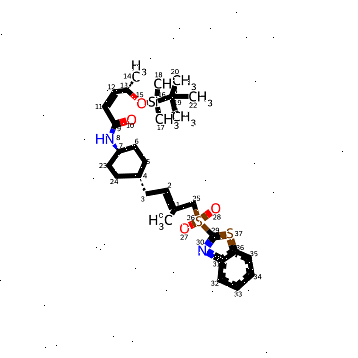 C/C(=C\C[C@H]1CC[C@H](NC(=O)/C=C\[C@H](C)O[Si](C)(C)C(C)(C)C)CC1)CS(=O)(=O)c1nc2ccccc2s1